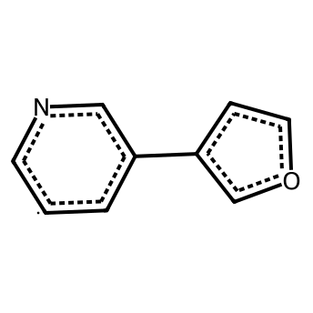 [c]1cncc(-c2ccoc2)c1